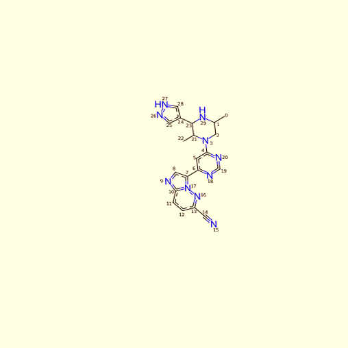 CC1CN(c2cc(-c3cnc4ccc(C#N)nn34)ncn2)C(C)C(c2cn[nH]c2)N1